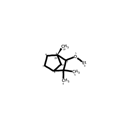 CCOC1C(C)(C)C2CC[C@@]1(C)C2